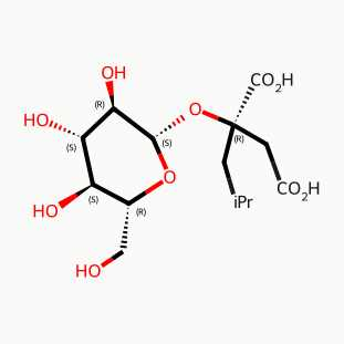 CC(C)C[C@](CC(=O)O)(O[C@@H]1O[C@H](CO)[C@@H](O)[C@H](O)[C@H]1O)C(=O)O